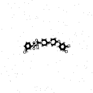 O=C(NS(=O)(=O)c1cccc(Cl)c1)N1CCC(N2CCC(Oc3ccc(Cl)c(Cl)c3)CC2)CC1